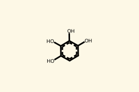 Oc1ccc(O)c(O)c1O